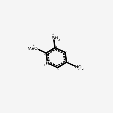 Bc1cc([N+](=O)[O-])cnc1OC